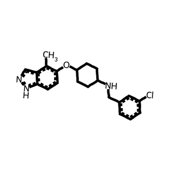 Cc1c(OC2CCC(NCc3cccc(Cl)c3)CC2)ccc2[nH]ncc12